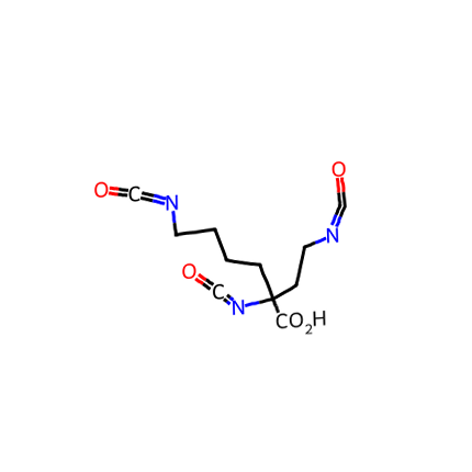 O=C=NCCCCC(CCN=C=O)(N=C=O)C(=O)O